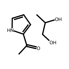 CC(=O)c1ccc[nH]1.CC(O)CO